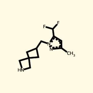 Cc1cc(C(F)F)n(CC2CC3(CNC3)C2)n1